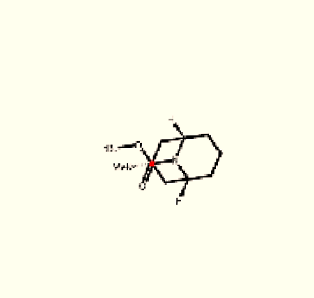 CN[C@H]1C[C@H]2CCC[C@@H](C1)N2C(=O)OC(C)(C)C